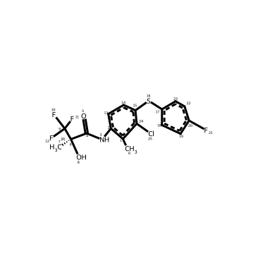 Cc1c(NC(=O)[C@@](C)(O)C(F)(F)F)ccc(Sc2ccc(F)cc2)c1Cl